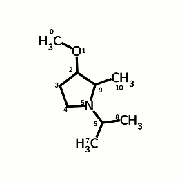 COC1CCN(C(C)C)C1C